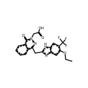 CCOc1cc2nc(Cc3nn(CC(=O)O)c(=O)c4ccccc34)[nH]c2cc1C(F)(F)F